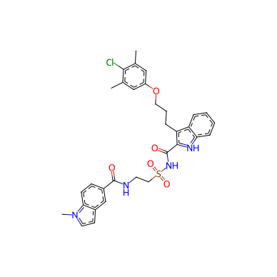 Cc1cc(OCCCc2c(C(=O)NS(=O)(=O)CCNC(=O)c3ccc4c(ccn4C)c3)[nH]c3ccccc23)cc(C)c1Cl